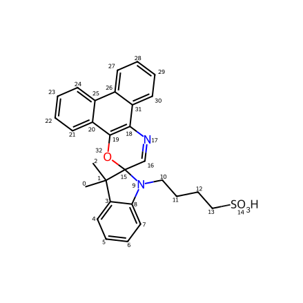 CC1(C)c2ccccc2N(CCCCS(=O)(=O)O)C12C=Nc1c(c3ccccc3c3ccccc13)O2